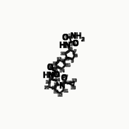 NC(=O)C(=O)Nc1cccc(-c2ccc(S(=O)(=O)Nc3ccc4c(c3)N(C(=O)C3CC3)CCC4)cc2)c1